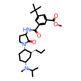 CCC[C@@H]1C[C@H](N(C)C(C)C)CC[C@@H]1N1CCC(NC(=O)c2cc(C(=O)OC)cc(C(C)(C)C)c2)C1=O